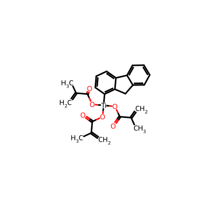 C=C(C)C(=O)[O][Ti]([O]C(=O)C(=C)C)([O]C(=O)C(=C)C)[c]1cccc2c1Cc1ccccc1-2